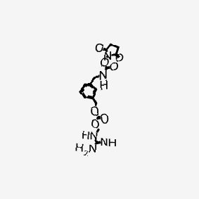 N=C(N)NCOC(=O)OCc1cccc(CNC(=O)ON2C(=O)CCC2=O)c1